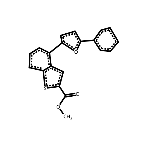 COC(=O)c1cc2c(-c3ccc(-c4ccccc4)o3)cccc2s1